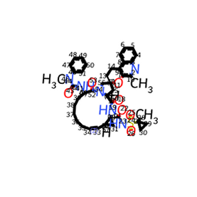 Cc1nc2ccccc2c2c1O[C@]1(CC2)C[C@H]2C(=O)N[C@]3(C(=O)NS(=O)(=O)C4(C)CC4)C[C@H]3/C=C\CCCCC[C@H](NC(=O)N(C)c3ccccc3)C(=O)N2C1